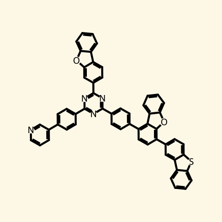 c1cncc(-c2ccc(-c3nc(-c4ccc(-c5ccc(-c6ccc7sc8ccccc8c7c6)c6oc7ccccc7c56)cc4)nc(-c4ccc5c(c4)oc4ccccc45)n3)cc2)c1